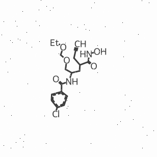 C#CCC(CC(COCOCC)NC(=O)c1ccc(Cl)cc1)C(=O)NO